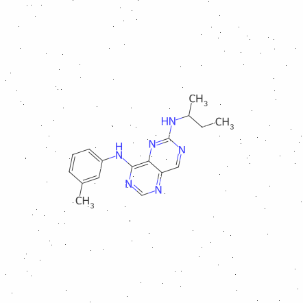 CCC(C)Nc1ncc2ncnc(Nc3cccc(C)c3)c2n1